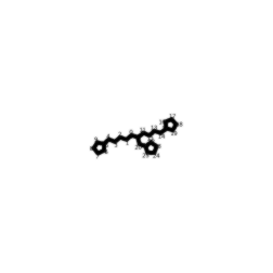 [CH](CCCCC1CCCC1)C(CCCCC1CCCC1)CC1CCCC1